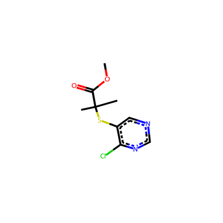 COC(=O)C(C)(C)Sc1cncnc1Cl